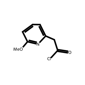 COc1cccc(CC(=O)Cl)n1